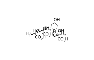 C=C(C)C(=O)O.C=C(C)C(=O)O.C=C(C)C(=O)O.OC1CC(O)CC(O)C1